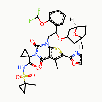 Cc1c(-c2ncco2)sc2c1c(=O)n(C1(C(=O)NS(=O)(=O)C3(C)CC3)CC1)c(=O)n2CC(OC1C[C@H]2CC[C@@H](C1)O2)c1ccccc1OC(F)F